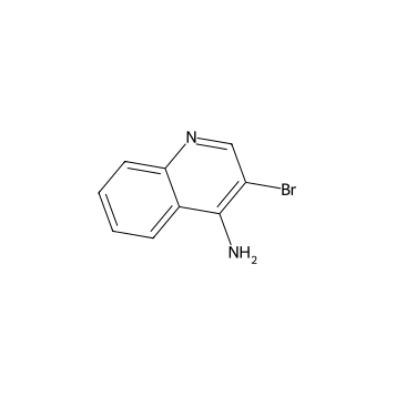 Nc1c(Br)cnc2ccccc12